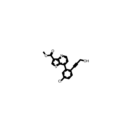 COC(=O)c1csc2c(-c3cc(Cl)ccc3C#CCO)ccnc12